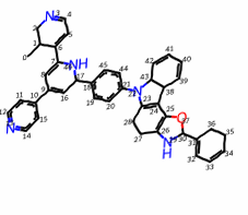 CC1CN=CC=C1C1=CC(c2ccncc2)=CC(c2ccc(N3C4=C(C5=C(CC4)NC(C4=CC=CCC4)O5)C4C=CC=CC43)cc2)N1